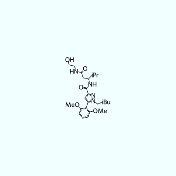 CCC(C)Cn1nc(C(=O)NC(CC(=O)NCCO)C(C)C)cc1-c1c(OC)cccc1OC